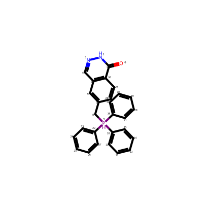 O=c1[nH]ncc2cc(C[PH](c3ccccc3)(c3ccccc3)c3ccccc3)ccc12